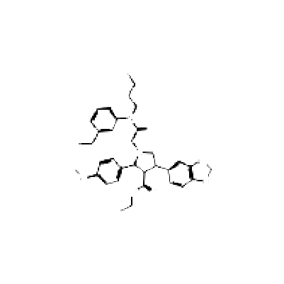 CCCCN(C(=O)CN1CC(c2ccc3c(c2)OCO3)C(C(=O)OCC)C1c1ccc(OC)cc1)c1cccc(CCl)c1